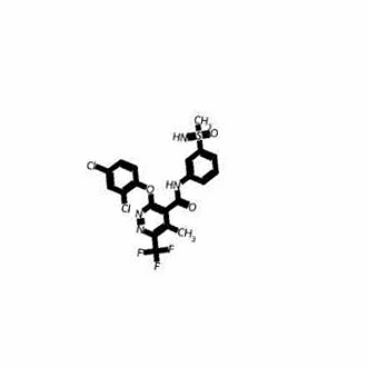 Cc1c(C(F)(F)F)nnc(Oc2ccc(Cl)cc2Cl)c1C(=O)Nc1cccc(S(C)(=N)=O)c1